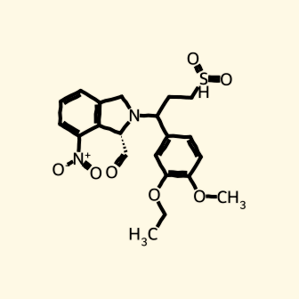 CCOc1cc(C(CC[SH](=O)=O)N2Cc3cccc([N+](=O)[O-])c3[C@H]2C=O)ccc1OC